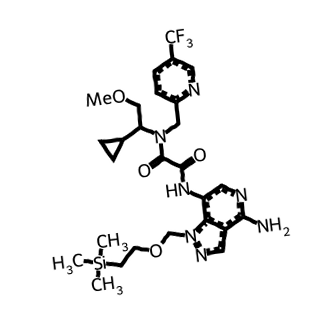 COCC(C1CC1)N(Cc1ccc(C(F)(F)F)cn1)C(=O)C(=O)Nc1cnc(N)c2cnn(COCC[Si](C)(C)C)c12